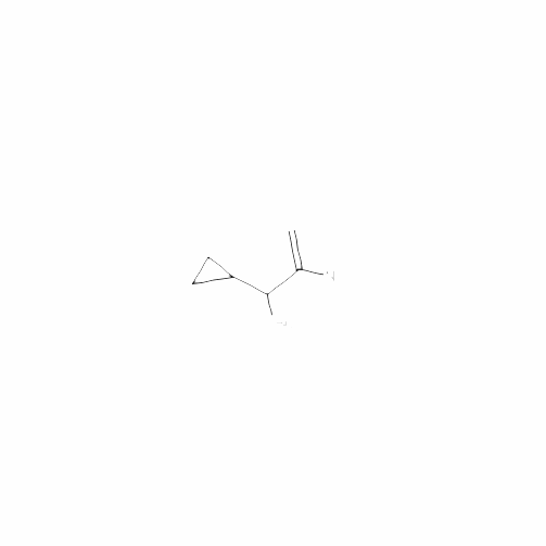 CCC(C)C(C(N)=O)C1CC1